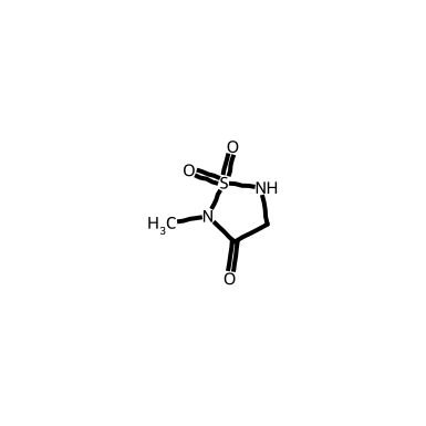 CN1C(=O)CNS1(=O)=O